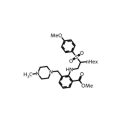 CCCCCCC(CNc1c(CN2CCN(C)CC2)cccc1C(=O)OC)S(=O)(=O)c1ccc(OC)cc1